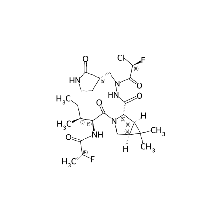 CC[C@H](C)[C@H](NC(=O)[C@@H](C)F)C(=O)N1C[C@H]2[C@@H]([C@H]1C(=O)NN(C[C@@H]1CCNC1=O)C(=O)[C@H](F)Cl)C2(C)C